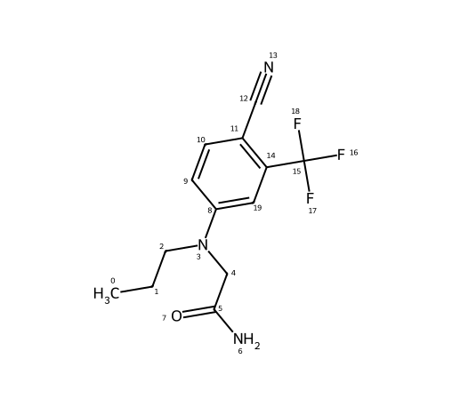 CCCN(CC(N)=O)c1ccc(C#N)c(C(F)(F)F)c1